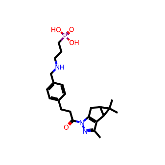 Cc1nn(C(=O)CCc2ccc(CNCCCP(=O)(O)O)cc2)c2c1C1C(C2)C1(C)C